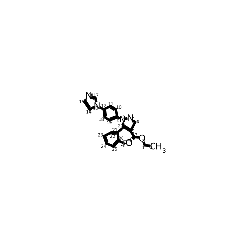 CCOC(=O)c1cnn(-c2ccc(-n3ccnc3)cc2)c1-c1ccccc1F